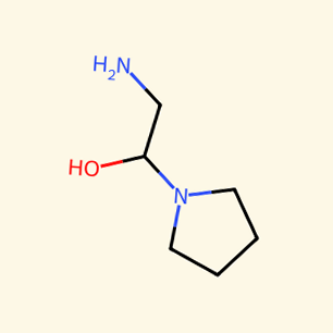 NCC(O)N1CCCC1